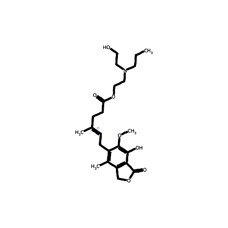 CCCN(CCO)CCOC(=O)CC/C(C)=C/Cc1c(C)c2c(c(O)c1OC)C(=O)OC2